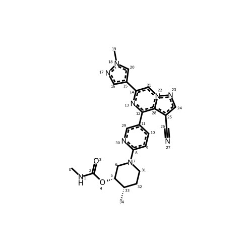 CNC(=O)O[C@@H]1CN(c2ccc(-c3nc(-c4cnn(C)c4)cn4ncc(C#N)c34)cn2)CC[C@@H]1C